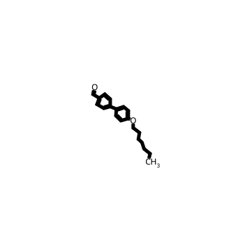 CCCCCCCOc1ccc(-c2ccc(C=O)cc2)cc1